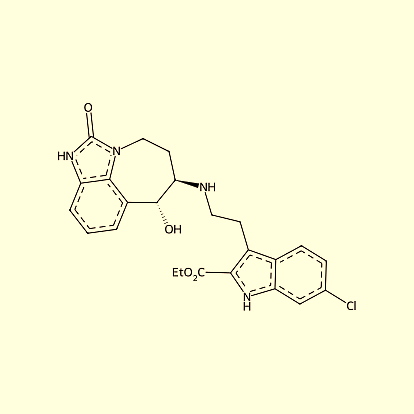 CCOC(=O)c1[nH]c2cc(Cl)ccc2c1CCN[C@@H]1CCn2c(=O)[nH]c3cccc(c32)[C@H]1O